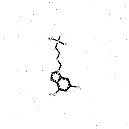 C[Si](C)(C)CCOCn1nnc2c(C=O)cc(C(F)(F)F)cc21